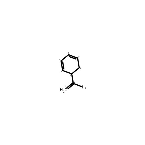 C=C(I)C1C=CC=CC1